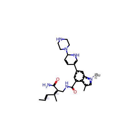 C/C=C/C(C)=C(/CNC(=O)c1cc(C2=CNC(N3CCNCC3)C=C2)cc2c1c(C)cn2[C@@H](C)CC)C(N)=O